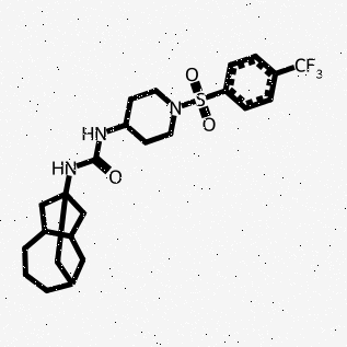 O=C(NC1CCN(S(=O)(=O)c2ccc(C(F)(F)F)cc2)CC1)NC12CC3CCCC(C1)C(C3)C2